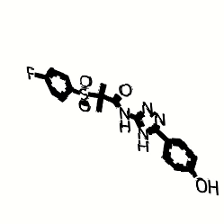 CC(C)(C(=O)Nc1nnc(-c2ccc(O)cc2)[nH]1)S(=O)(=O)c1ccc(F)cc1